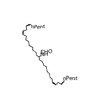 CCCCC/C=C\C/C=C\CCCCCCCCC(CCCCCCCC/C=C\C/C=C\CCCCC)NC=O